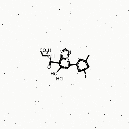 Cc1cc(F)cc(-c2cc(O)c(C(=O)NCC(=O)O)c3ncnn23)c1.Cl